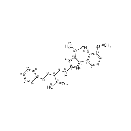 COc1cccc(-c2nc(NCC(CCc3ccccc3)C(=O)O)sc2C(C)C)c1